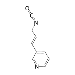 O=C=NCC=Cc1cccnc1